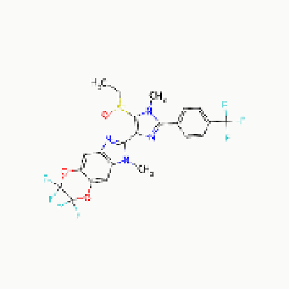 CC[S+]([O-])c1c(-c2nc3cc4c(cc3n2C)OC(F)(F)C(F)(F)O4)nc(-c2ccc(C(F)(F)F)cc2)n1C